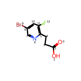 O=C(O)CCc1ncc(Br)cc1F